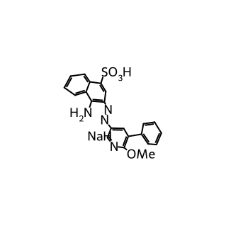 COc1ncc(N=Nc2cc(S(=O)(=O)O)c3ccccc3c2N)cc1-c1ccccc1.[NaH]